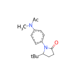 CC(=O)N(C)c1ccc(N2C(=O)CCC2C(C)(C)C)cc1